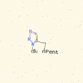 CCCCCCc1cnnn1CCCC